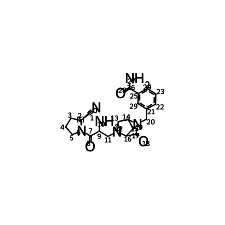 N#C[C@@H]1CCCN1C(=O)C(N)CN1CC2CC1C(=O)N2Cc1cccc(C(N)=O)c1